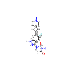 Cn1nc(N2CCC(=O)NC2=O)c2cc(F)c(C3CC4(CCNCC4)C3)cc21